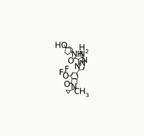 C[C@@H](C1CC1)N1Cc2cc(-c3ccn4nc(N)c(C(=O)NC56CCC(O)(CC5)C6)c4n3)cc(OC(F)F)c2C1=O